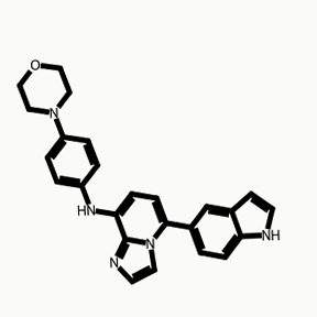 c1cn2c(-c3ccc4[nH]ccc4c3)ccc(Nc3ccc(N4CCOCC4)cc3)c2n1